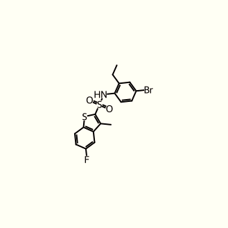 CCc1cc(Br)ccc1NS(=O)(=O)c1sc2ccc(F)cc2c1C